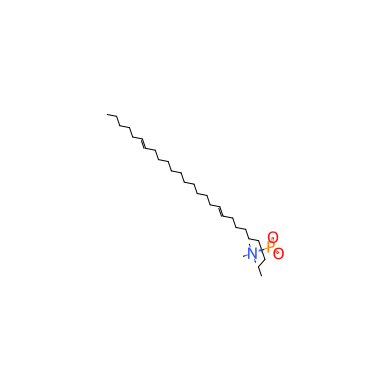 CCCCCC=CCCCCCCCCCCC=CCCCCCC(CCC)(P(=O)=O)[N+](C)(C)C